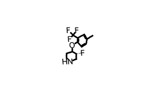 Cc1ccc(OC2CCNC[C@H]2F)c(C(F)(F)F)c1